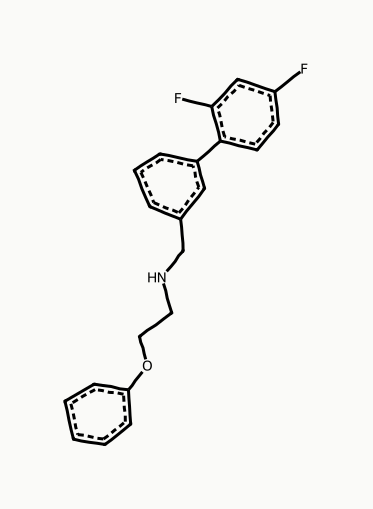 Fc1ccc(-c2cccc(CNCCOc3ccccc3)c2)c(F)c1